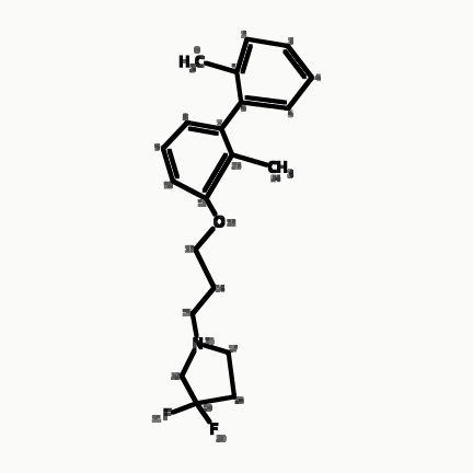 Cc1ccccc1-c1cccc(OCCCN2CCC(F)(F)C2)c1C